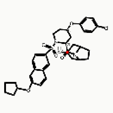 NC1CC2CCC(C1)N2C(=O)[C@@H]1C[C@H](Oc2ccc(Cl)cc2)CCN1S(=O)(=O)c1ccc2cc(OC3CCCC3)ccc2c1